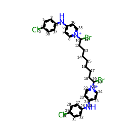 Clc1ccc(Nc2cc[n+](C(Br)CCCCCCCC(Br)[n+]3ccc(Nc4ccc(Cl)cc4)cc3)cc2)cc1